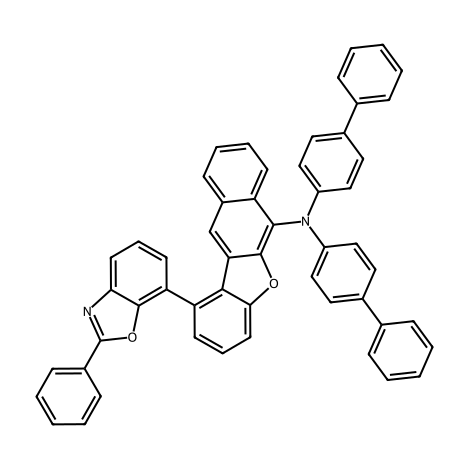 c1ccc(-c2ccc(N(c3ccc(-c4ccccc4)cc3)c3c4ccccc4cc4c3oc3cccc(-c5cccc6nc(-c7ccccc7)oc56)c34)cc2)cc1